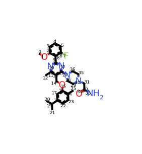 COc1cccc(F)c1-c1nc(C)c(COc2cc(C(C)C)ccc2C)c(N2CCN(CC(N)=O)CC2)n1